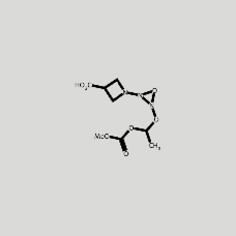 COC(=O)OC(C)On1on1N1CC(C(=O)O)C1